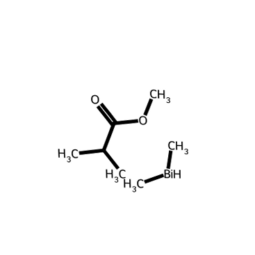 COC(=O)C(C)C.[CH3][BiH][CH3]